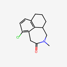 CN1CC2CCCc3ccc(Cl)c(c32)CC1=O